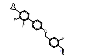 C/C=C/c1ccc(COc2ccc(-c3ccc(C4CO4)c(F)c3F)cc2)cc1F